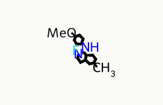 COc1ccc(Nc2nccc3cc(C)ccc23)c(F)c1